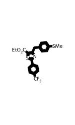 CCOC(=O)c1sc(-c2ccc(C(F)(F)F)cc2)nc1Cc1ccc(SC)cc1